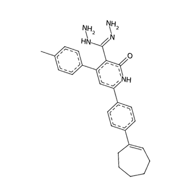 Cc1ccc(-c2cc(-c3ccc(C4=CCCCCC4)cc3)[nH]c(=O)c2/C(=N/N)NN)cc1